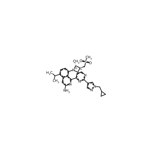 CC(C)c1ccc(N2C[C@H](CS(C)(=O)=O)[C@H]2C)c2c(-c3ccnc(-c4cnn(CC5CC5)c4)n3)nc(N)cc12